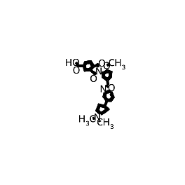 COc1ccc(-c2nc3cc(-c4ccc(N(C)C)cc4)ccc3o2)cc1N1C(=O)c2ccc(C(=O)O)cc2C1=O